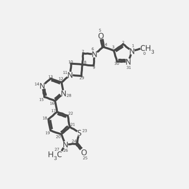 Cn1cc(C(=O)N2CC3(C2)CN(c2cncc(-c4ccc5c(c4)sc(=O)n5C)n2)C3)cn1